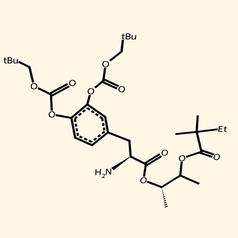 CCC(C)(C)C(=O)OC(C)[C@H](C)OC(=O)[C@@H](N)Cc1ccc(OC(=O)OCC(C)(C)C)c(OC(=O)OCC(C)(C)C)c1